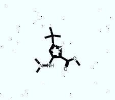 COC(=O)c1sc(C(C)(C)C)cc1NN(C)C